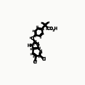 CC(C)(C(=O)O)c1ccc(Oc2nc3nc(Cl)c(Cl)cc3[nH]2)cc1